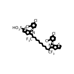 O=S(=O)(O)c1cc2c(s1)-c1c(c(C(CCCCCCCCC(c3nn(-c4ccc(Cl)cc4Cl)c4c3Cc3ccsc3-4)C(F)(F)F)C(F)(F)F)nn1-c1ccc(Cl)cc1Cl)C2